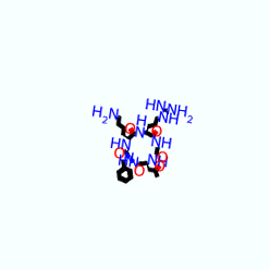 CC(=O)C[C@@H]1NC(=O)CNC(=O)[C@H](CCCNC(=N)N)NC(=O)[C@H](CCCCN)NC(=O)N(Cc2ccccc2)NC1=O